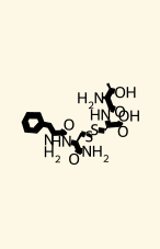 C[C@@H](O)[C@H](N)C(=O)N[C@@H](CSSC[C@H](NC(=O)[C@H](N)Cc1ccccc1)C(N)=O)C(=O)O